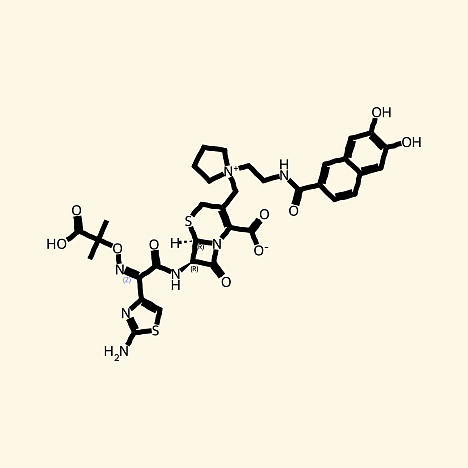 CC(C)(O/N=C(\C(=O)N[C@@H]1C(=O)N2C(C(=O)[O-])=C(C[N+]3(CCNC(=O)c4ccc5cc(O)c(O)cc5c4)CCCC3)CS[C@H]12)c1csc(N)n1)C(=O)O